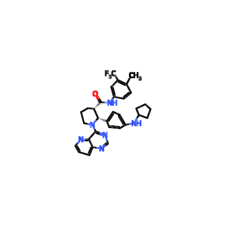 Cc1ccc(NC(=O)[C@H]2CCCN(c3ncnc4cccnc34)[C@H]2c2ccc(NC3CCCC3)cc2)cc1C(F)(F)F